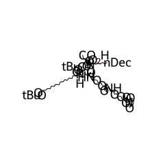 CC(C)(C)OC(=O)CCCCCCCCCCCCCCCCC(=O)N[C@@H](CCC(=O)NCCOCCOCC(=O)NCCOCCOCC(=O)ON1C(=O)CCC1=O)C(=O)OC(C)(C)C.CCCCCCCCCCCCCCCC(=O)NS(=O)(=O)CCCC(=O)O